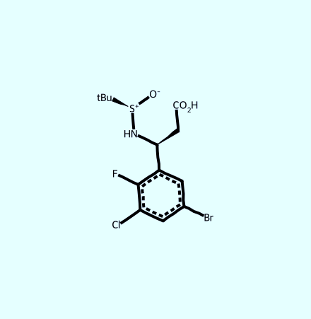 CC(C)(C)[S@@+]([O-])N[C@@H](CC(=O)O)c1cc(Br)cc(Cl)c1F